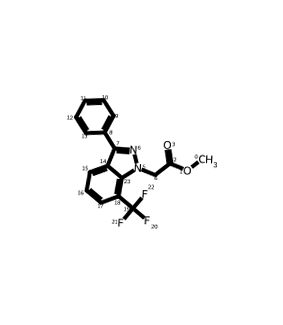 COC(=O)Cn1nc(-c2ccccc2)c2cccc(C(F)(F)F)c21